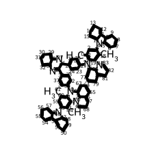 Cc1cc(-n2c3ccccc3c3ccccc32)c(C)cc1N(c1ccc(-c2nc3ccccc3nc2-c2ccc(N(c3cc(C)c(-n4c5ccccc5c5ccccc54)cc3C)c3cccc4cccnc34)cc2)cc1)c1cccc2cccnc12